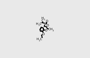 C=CCOc1ccccc1OC(C)C1CN(C(C)C)C(=O)O1